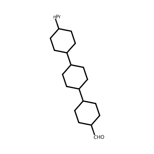 CCCC1CCC(C2CCC(C3CCC(C=O)CC3)CC2)CC1